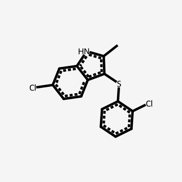 Cc1[nH]c2cc(Cl)ccc2c1Sc1ccccc1Cl